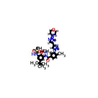 COc1c(NC(=O)c2ccc(C)c(-n3cc(-c4cnn(N5CCOCC5)n4)nn3)c2)cc(C(C)(C)C)cc1NS(C)(=O)=O